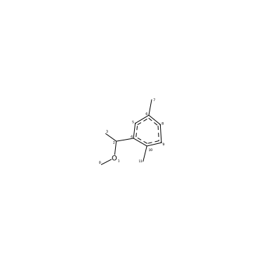 COC(C)c1cc(C)ccc1C